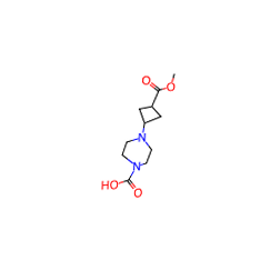 COC(=O)C1CC(N2CCN(C(=O)O)CC2)C1